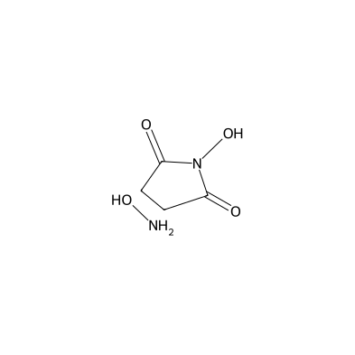 NO.O=C1CCC(=O)N1O